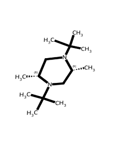 C[C@@H]1CN(C(C)(C)C)[C@H](C)CN1C(C)(C)C